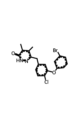 Cc1c(Cc2ccc(Cl)c(Oc3cccc(Br)c3)c2)n[nH]c(=O)c1C